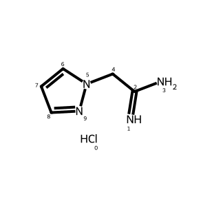 Cl.N=C(N)Cn1cccn1